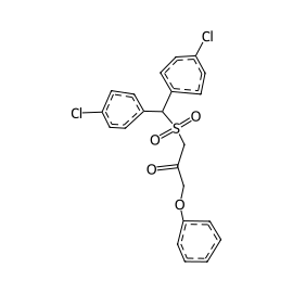 O=C(COc1ccccc1)CS(=O)(=O)C(c1ccc(Cl)cc1)c1ccc(Cl)cc1